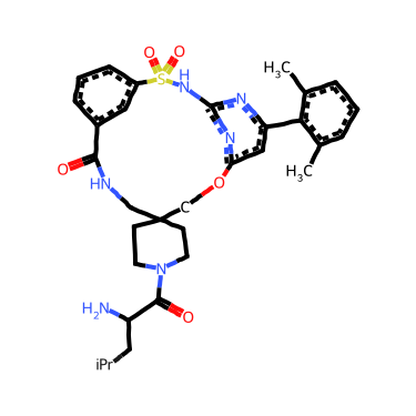 Cc1cccc(C)c1-c1cc2nc(n1)NS(=O)(=O)c1cccc(c1)C(=O)NCC1(CCN(C(=O)C(N)CC(C)C)CC1)CO2